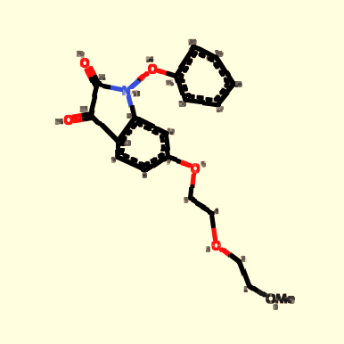 COCCOCCOc1ccc2c(c1)N(Oc1ccccc1)C(=O)C2=O